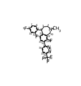 CN1CCC(c2ccc(F)cc2F)c2ccc(-c3ccc(C(F)(F)F)nn3)c(F)c2C1